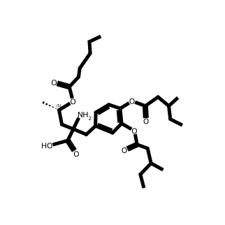 CCCCCC(=O)O[C@@H](C)CC(N)(Cc1ccc(OC(=O)CC(C)CC)c(OC(=O)CC(C)CC)c1)C(=O)O